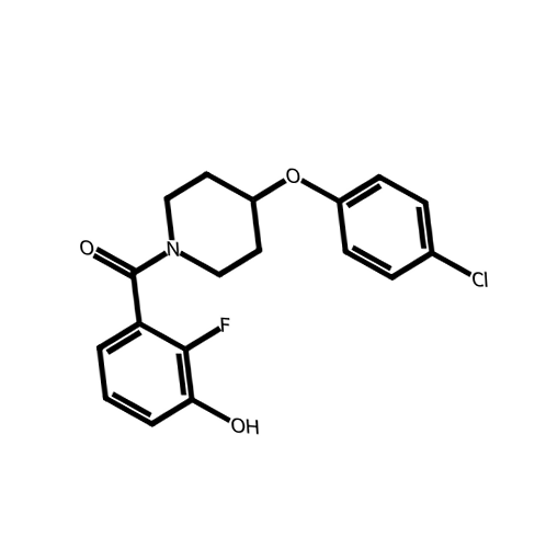 O=C(c1cccc(O)c1F)N1CCC(Oc2ccc(Cl)cc2)CC1